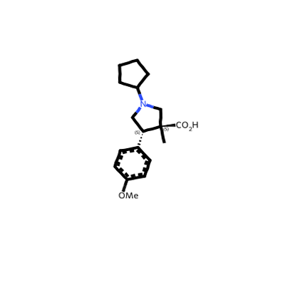 COc1ccc([C@@H]2CN(C3CCCC3)C[C@@]2(C)C(=O)O)cc1